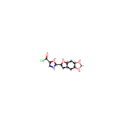 O=C(Cl)c1cnc(-c2cc3cc4c(cc3o2)OCO4)o1